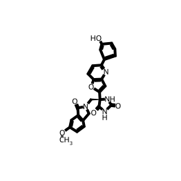 COc1ccc2c(c1)C(=O)N(C[C@@]1(c3cc4nc(-c5cccc(O)c5)ccc4o3)NC(=O)NC1=O)C2